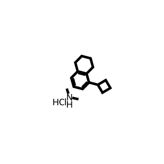 CNC.Cl.c1cc2c(c(C3CCC3)c1)CCCC2